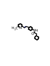 Cc1cccc(/C=C/c2ccc(NC(=O)Cc3ccccc3)cc2)n1